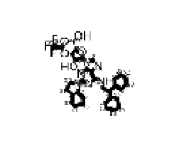 O=C(O[C@H]1[C@@H](O)[C@H](n2cnc3c(NCC(c4ccccc4)c4ccccc4)nc(N4CCc5ccccc54)nc32)O[C@@H]1CO)C(F)(F)F